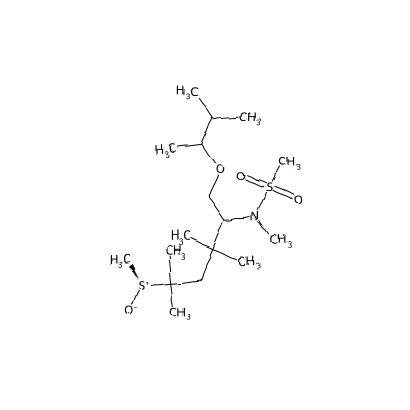 CC(C)C(C)OCC(N(C)S(C)(=O)=O)C(C)(C)CC(C)(C)[S@+](C)[O-]